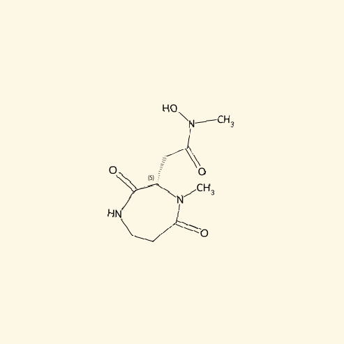 CN(O)C(=O)C[C@H]1C(=O)NCCC(=O)N1C